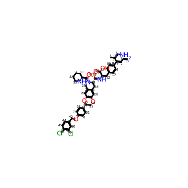 C=C/C=C(\C(C)=C/N)c1ccc(CC(NC(=O)[C@@H]2Cc3cc4c(cc3CN2C(=O)C2CCCCN2)O[C@@H](c2ccc(OCc3ccc(Cl)c(Cl)c3)cc2)CO4)C(=O)O)cc1